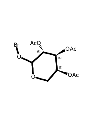 CC(=O)O[C@H]1[C@@H](OC(C)=O)COC(OBr)[C@@H]1OC(C)=O